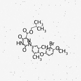 COc1ccc(Oc2c(C)cc(-n3nc(C(=O)OCC(C)C)c(=O)[nH]c3=O)cc2C)cc1Br